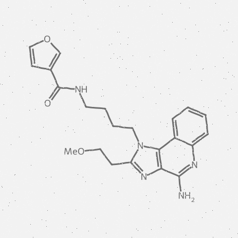 COCCc1nc2c(N)nc3ccccc3c2n1CCCCNC(=O)c1ccoc1